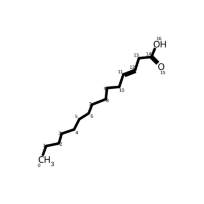 CCCCCCCCCCCC=CCC(=O)O